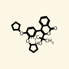 CC(C)(O)c1oc(=O)c2ccccc2c1-c1ccc(OC2CCCC2)c(OC2CCCC2)c1